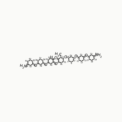 Cc1c(Oc2cccc(Oc3cccc(Oc4cccc(N)c4)c3)c2)ccc(Oc2cccc(Oc3cccc(Oc4cccc(N)c4)c3)c2)c1C